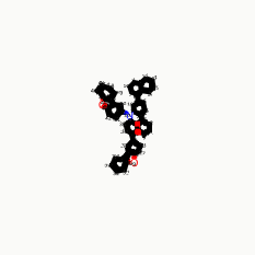 c1ccc(-c2ccc(-c3cccc4ccccc34)cc2N(c2ccc(-c3ccc4oc5ccccc5c4c3)cc2)c2ccc3oc4ccccc4c3c2)cc1